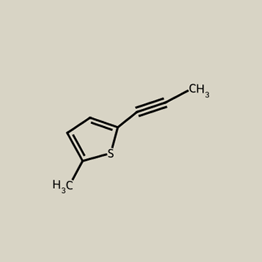 CC#Cc1ccc(C)s1